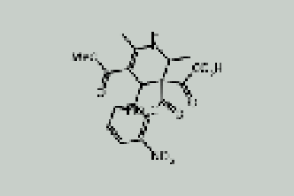 COC(=O)C1=C(C)NC(C)C(C(=O)C(=O)O)(C(=O)C(=O)O)C1c1cccc([N+](=O)[O-])c1